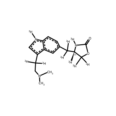 [2H]N1C(=O)OC([2H])([2H])[C@]1([2H])C([2H])([2H])c1ccc2c(c1)c(C([2H])([2H])CN(C)C)cn2[2H]